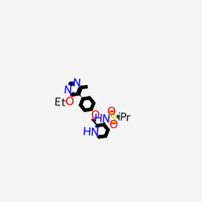 CCOc1ncnc(C)c1[C@H]1CC[C@@H](OC[C@@H]2NCCC[C@@H]2NS(=O)(=O)C(C)C)CC1